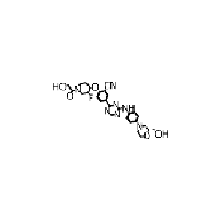 N#Cc1cc(-c2ncnc(Nc3ccc(N4CCO[C@@H](CO)C4)cc3)n2)ccc1O[C@H]1CCN(C(=O)CO)C[C@@H]1F